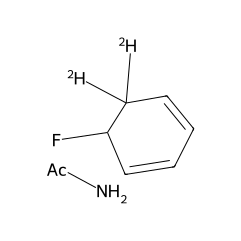 CC(N)=O.[2H]C1([2H])C=CC=CC1F